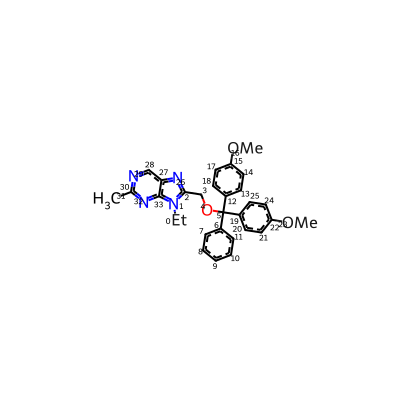 [CH2]Cn1c(COC(c2ccccc2)(c2ccc(OC)cc2)c2ccc(OC)cc2)nc2cnc(C)nc21